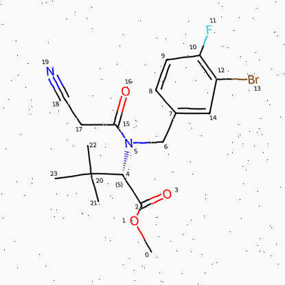 COC(=O)[C@@H](N(Cc1ccc(F)c(Br)c1)C(=O)CC#N)C(C)(C)C